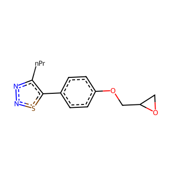 CCCc1nnsc1-c1ccc(OCC2CO2)cc1